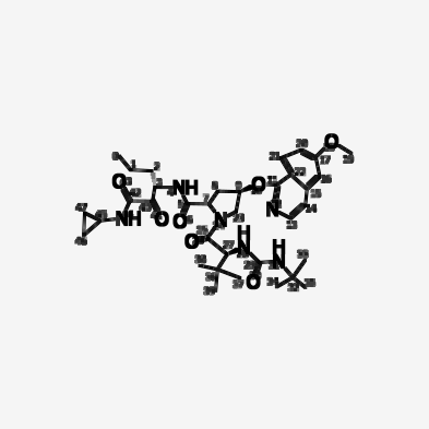 CCC[C@H](NC(=O)C1C[C@@H](Oc2nccc3cc(OC)ccc23)CN1C(=O)[C@@H](NC(=O)NC(C)(C)C)C(C)(C)C)C(=O)C(=O)NC1CC1